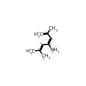 C=C(C)/C=C(/N)C=C(C)C